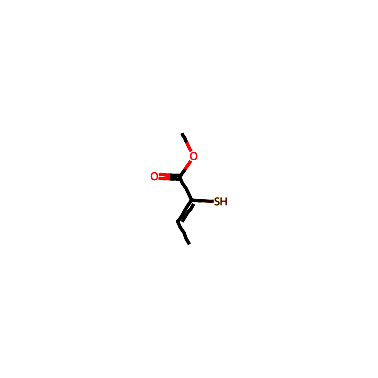 CC=C(S)C(=O)OC